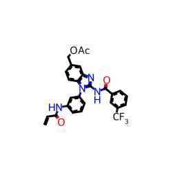 C=CC(=O)Nc1cccc(-n2c(NC(=O)c3cccc(C(F)(F)F)c3)nc3cc(COC(C)=O)ccc32)c1